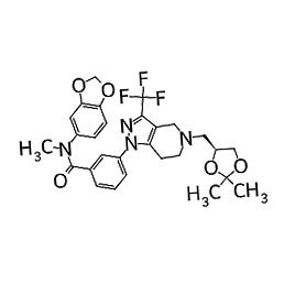 CN(C(=O)c1cccc(-n2nc(C(F)(F)F)c3c2CCN(C[C@H]2COC(C)(C)O2)C3)c1)c1ccc2c(c1)OCO2